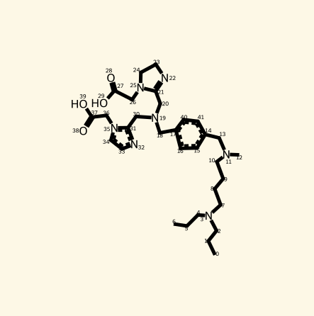 CCCN(CCC)CCCCN(C)Cc1ccc(CN(CC2=NCCN2CC(=O)O)Cc2nccn2CC(=O)O)cc1